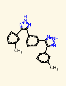 Cc1cccc(-c2n[nH]nc2-c2cccc(-c3n[nH]nc3-c3cccc(C)c3)c2)c1